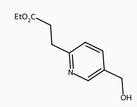 CCOC(=O)CCc1ccc(CO)cn1